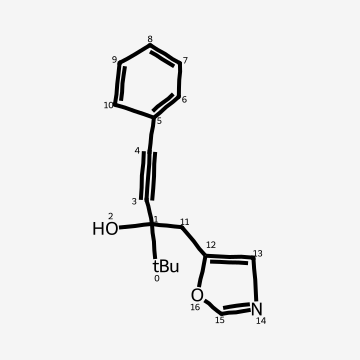 CC(C)(C)C(O)(C#Cc1ccccc1)Cc1cnco1